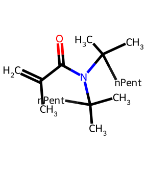 C=C(C)C(=O)N(C(C)(C)CCCCC)C(C)(C)CCCCC